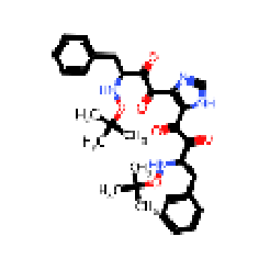 CC(C)(C)ONC(Cc1ccccc1)C(=O)C(=O)c1nc[nH]c1C(=O)C(=O)C(Cc1ccccc1)NOC(C)(C)C